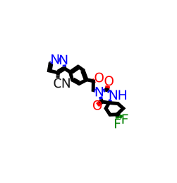 N#Cc1ccnnc1-c1ccc(C(=O)CN2C(=O)NC3(CCC(F)(F)CC3)C2=O)cc1